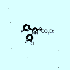 CCOC(=O)Oc1cc(-c2cccc(F)c2)n(-c2ccc(F)c(Cl)c2)n1